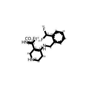 CCOC(=O)C(=N)C1=C(NCc2ccccc2C(F)F)CCNC1